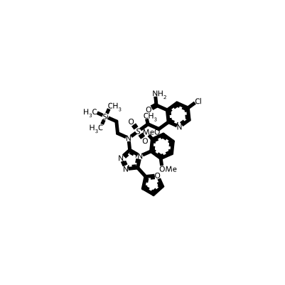 COc1cccc(OC)c1-n1c(-c2ccco2)nnc1N(CC[Si](C)(C)C)S(=O)(=O)C(C)Cc1ncc(Cl)cc1C(N)=O